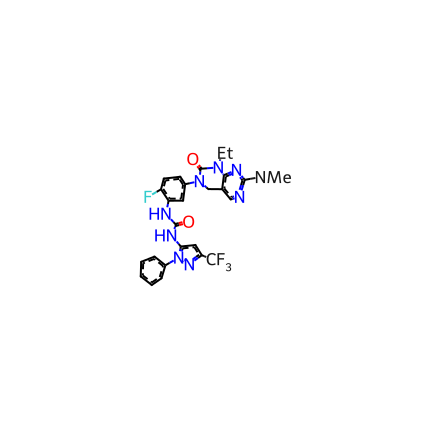 CCN1C(=O)N(c2ccc(F)c(NC(=O)Nc3cc(C(F)(F)F)nn3-c3ccccc3)c2)Cc2cnc(NC)nc21